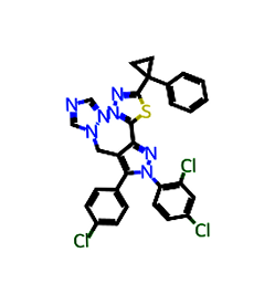 Clc1ccc(-c2c(Cn3cncn3)c(-c3nnc(C4(c5ccccc5)CC4)s3)nn2-c2ccc(Cl)cc2Cl)cc1